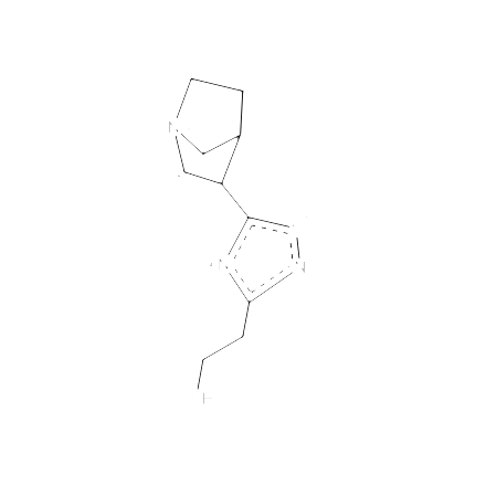 CCCc1nsc(C2CN3CCC2C3)n1